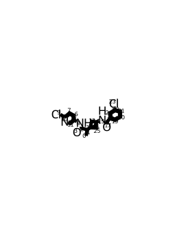 CC(C(=O)Nc1ccc(Cl)nc1)C12CC(NC(=O)c3cccc(Cl)c3)(C1)C2